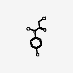 O=C(CCl)N(Cl)c1ccc(Cl)cc1